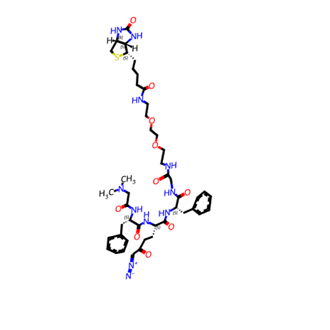 CN(C)CC(=O)N[C@@H](Cc1ccccc1)C(=O)N[C@@H](CCC(=O)C=[N+]=[N-])C(=O)N[C@@H](Cc1ccccc1)C(=O)NCC(=O)NCCOCCOCCNC(=O)CCCC[C@@H]1SC[C@@H]2NC(=O)N[C@@H]21